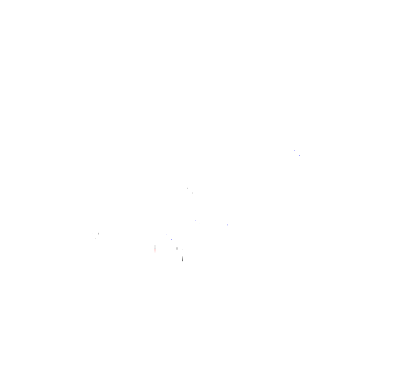 CC=CC(=O)Nc1cccc(COc2cc(C#N)c(N3CCN(C(=O)CCOC)[C@H](C)C3)nc2C2CC2)c1